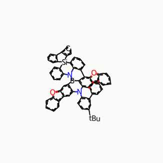 CC(C)(C)c1ccc(N2c3cc4c(cc3B3c5c2cc2c(oc6ccccc62)c5-c2cccc5c2N3c2ccccc2[Si]52c3ccccc3-c3ccccc32)oc2ccccc24)c(-c2ccccc2)c1